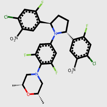 C[C@@H]1CN(c2c(F)cc(N3[C@@H](c4cc([N+](=O)[O-])c(Cl)cc4F)CC[C@@H]3c3cc([N+](=O)[O-])c(Cl)cc3F)cc2F)C[C@H](C)O1